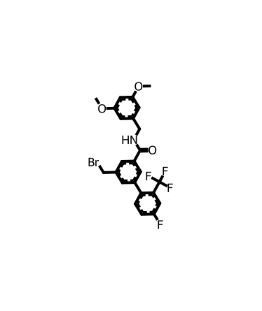 COc1cc(CNC(=O)c2cc(CBr)cc(-c3ccc(F)cc3C(F)(F)F)c2)cc(OC)c1